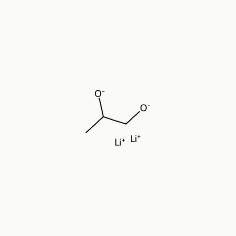 CC([O-])C[O-].[Li+].[Li+]